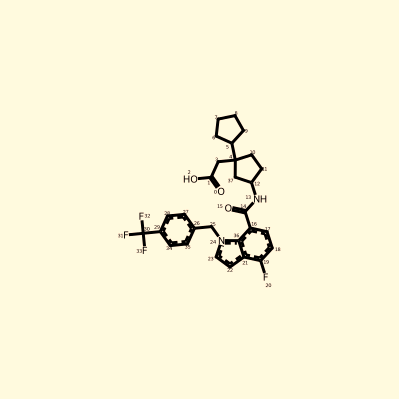 O=C(O)CC1(C2CCCC2)CCC(NC(=O)c2ccc(F)c3ccn(Cc4ccc(C(F)(F)F)cc4)c23)C1